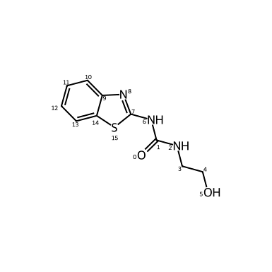 O=C(NCCO)Nc1nc2ccccc2s1